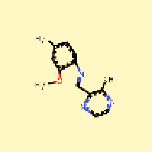 COc1cc(C)ccc1N=Cc1nccnc1C